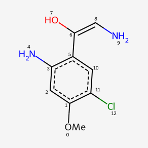 COc1cc(N)c(/C(O)=C\N)cc1Cl